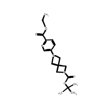 CCOC(=O)c1ccc(N2CC3(CN(C(=O)OC(C)(C)C)C3)C2)cn1